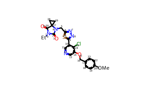 CCN1C(=O)N(Cc2nnc(-c3cncc(OCc4ccc(OC)cc4)c3Cl)s2)C2(CC2)C1=O